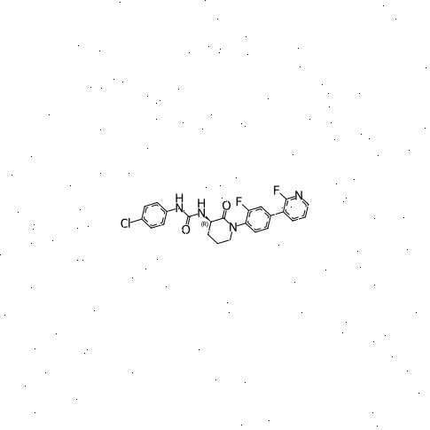 O=C(Nc1ccc(Cl)cc1)N[C@@H]1CCCN(c2ccc(-c3cccnc3F)cc2F)C1=O